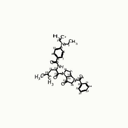 CCN(CC)c1ccc(C(=O)NC(CC(C)C)C(=O)N2CCC3C2C(=O)CN3C(=O)c2ccccc2)cc1